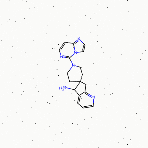 NC1c2cccnc2CC12CCN(c1nccc3nccn13)CC2